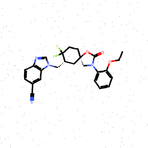 CCOc1ccccc1N1C[C@]2(CCC(F)(F)[C@@H](Cn3cnc4ccc(C#N)cc43)C2)OC1=O